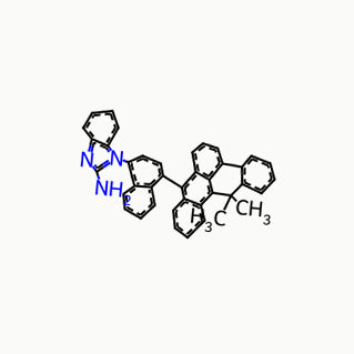 CC1(C)c2ccccc2-c2cccc3c(-c4ccc(-n5c(N)nc6ccccc65)c5ccccc45)c4ccccc4c1c23